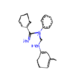 CC1=CCCC(NCN(C(=N)C2=CCCC=C2)c2ccccc2)=C1